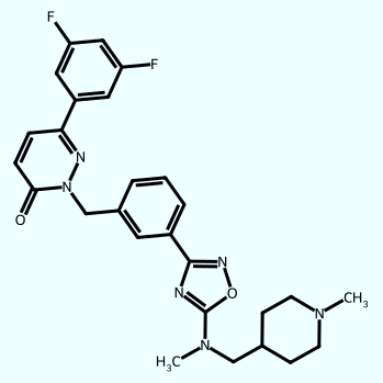 CN1CCC(CN(C)c2nc(-c3cccc(Cn4nc(-c5cc(F)cc(F)c5)ccc4=O)c3)no2)CC1